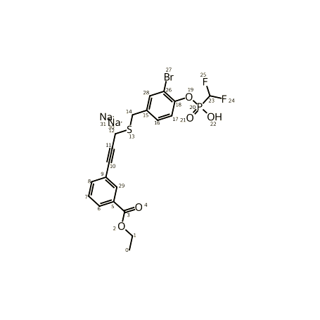 CCOC(=O)c1cccc(C#CCSCc2ccc(OP(=O)(O)C(F)F)c(Br)c2)c1.[Na].[Na]